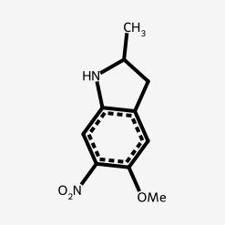 COc1cc2c(cc1[N+](=O)[O-])NC(C)C2